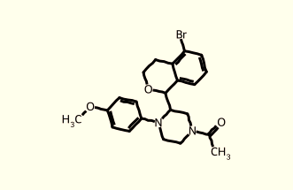 COc1ccc(N2CCN(C(C)=O)CC2C2OCCc3c(Br)cccc32)cc1